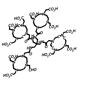 O=CCN1CCN(CC(=O)O)CCN(CC(=O)O)CCN(CC(=O)NCC(CNC(=O)CN2CCN(CC(=O)O)CCN(CC(=O)O)CCN(CC(=O)O)CC2)(CNC(=O)CN2CCN(CC(=O)O)CCN(CC(=O)O)CCN(CC(=O)O)CC2)CNC(=O)CN2CCN(CC(=O)O)CCN(CC(=O)O)CCN(CC(=O)O)CC2)CC1